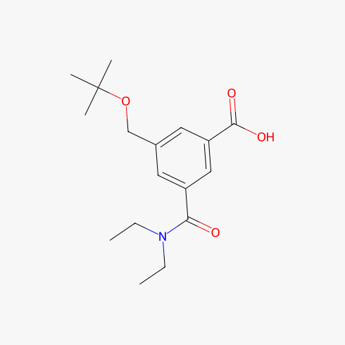 CCN(CC)C(=O)c1cc(COC(C)(C)C)cc(C(=O)O)c1